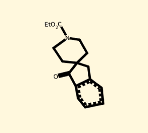 CCOC(=O)N1CCC2(CC1)Cc1ccccc1C2=O